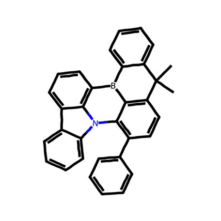 CC1(C)c2ccccc2B2c3c1ccc(-c1ccccc1)c3-n1c3ccccc3c3cccc2c31